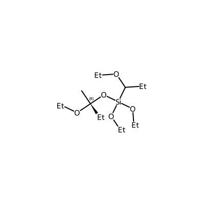 CCOC(CC)[Si](OCC)(OCC)O[C@](C)(CC)OCC